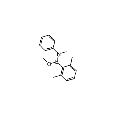 COB(c1c(C)cccc1C)N(C)c1ccccc1